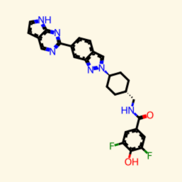 O=C(NC[C@H]1CC[C@H](n2cc3ccc(-c4ncc5cc[nH]c5n4)cc3n2)CC1)c1cc(F)c(O)c(F)c1